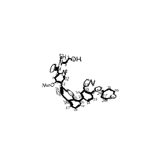 COc1cc(C(=O)N(C)CCO)ncc1-c1cc2cccc(-c3ccc(OC4CCOCC4)c(C#N)c3)c2o1